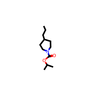 CCCC1CCN(C(=O)OC(C)C)CC1